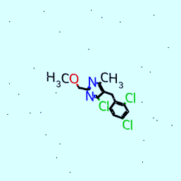 COCc1nc(C)c(Cc2ccc(Cl)cc2Cl)c(Cl)n1